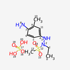 CCN(Nc1ccc(N)c(C)c1)S(C)(=O)=O.O=S(=O)(O)O